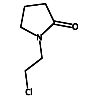 O=C1CCCN1CCCl